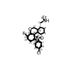 CCNC[C@@H]1CCC[C@@]2(S(=O)(=O)c3ccc(Cl)cc3)c3c(F)ccc(F)c3OCC12